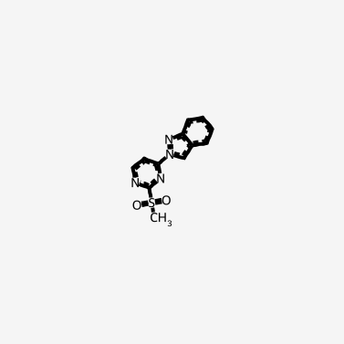 CS(=O)(=O)c1nccc(-n2cc3ccccc3n2)n1